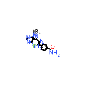 Cn1c(-c2nn(C(C)(C)C)c3ncnc(N)c23)c(F)c2ccc(C(N)=O)cc21